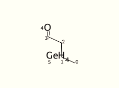 CCC[C]=O.[GeH4]